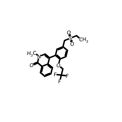 CCS(=O)(=O)Cc1ccc(OCC(F)(F)F)c(-c2cn(C)c(=O)c3ccccc23)c1